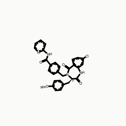 COc1ccc(C[C@@H]2C(=O)Nc3cc(Cl)ccc3C(=O)N2Cc2ccc(C(=O)Nc3ccccn3)cc2)cc1